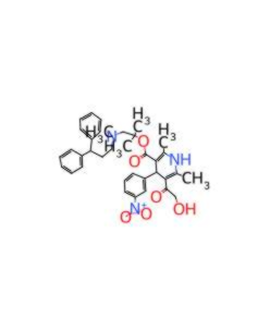 CC1=C(C(=O)CO)C(c2cccc([N+](=O)[O-])c2)C(C(=O)OC(C)(C)CN(C)CCC(c2ccccc2)c2ccccc2)=C(C)N1